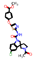 COC(=O)c1ccc(Oc2cnc(NC(=O)N3CC4(CCN(C(C)=O)C4)c4cc(Cl)ccc43)s2)cc1